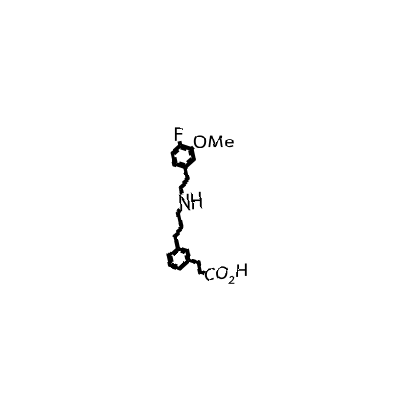 COc1cc(CCNCCCc2cccc(CCC(=O)O)c2)ccc1F